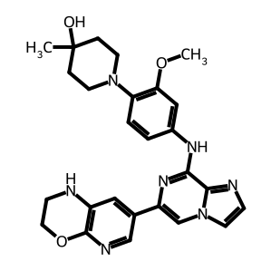 COc1cc(Nc2nc(-c3cnc4c(c3)NCCO4)cn3ccnc23)ccc1N1CCC(C)(O)CC1